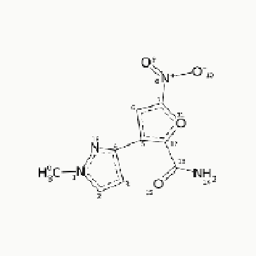 Cn1ccc(-c2cc([N+](=O)[O-])oc2C(N)=O)n1